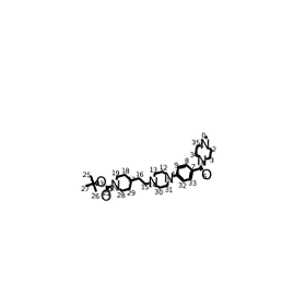 CN1CCN(C(=O)c2ccc(N3CCN(CCC4CCN(C(=O)OC(C)(C)C)CC4)CC3)cc2)CC1